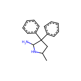 CC1CC(c2ccccc2)(c2ccccc2)C(N)N1